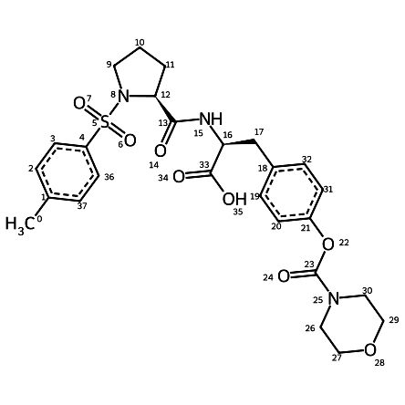 Cc1ccc(S(=O)(=O)N2CCC[C@H]2C(=O)N[C@@H](Cc2ccc(OC(=O)N3CCOCC3)cc2)C(=O)O)cc1